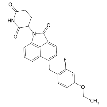 CCOc1ccc(Cc2ccc3c4c(cccc24)N(C2CCC(=O)NC2=O)C3=O)c(F)c1